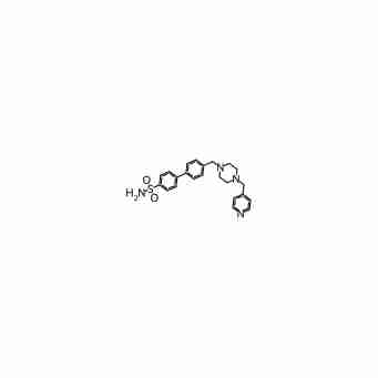 NS(=O)(=O)c1ccc(-c2ccc(CN3CCN(Cc4ccncc4)CC3)cc2)cc1